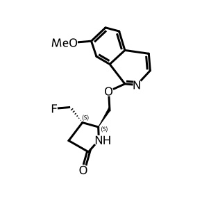 COc1ccc2ccnc(OC[C@H]3NC(=O)C[C@@H]3CF)c2c1